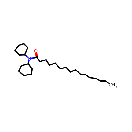 CCCCCCCCCCCCCCCC(=O)N(C1CCCCC1)C1CCCCC1